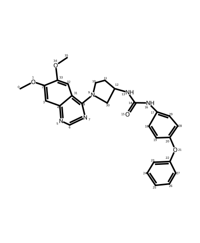 COc1cc2ncnc(N3CCC(NC(=O)Nc4ccc(Oc5ccccc5)cc4)C3)c2cc1OC